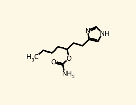 CCCCC(CCc1c[nH]cn1)OC(N)=O